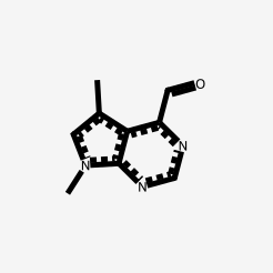 Cc1cn(C)c2ncnc(C=O)c12